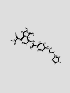 CNC(=O)c1ccc(NC(=O)c2ccc(NCCN3CCCC3)cc2)c2c1CNC2=O